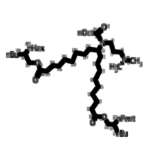 CCCCCCCCC(=O)N(CCCN(C)C)C(CCCCCCCCC(=O)OCC(CCCC)CCCCC)CCCCCCCCC(=O)OCC(CCCC)CCCCCC